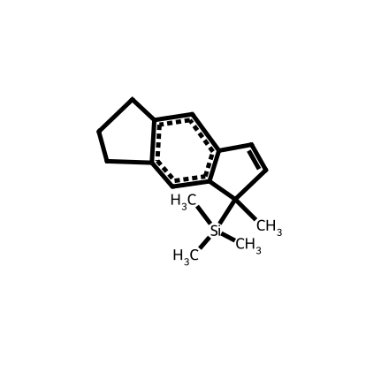 CC1([Si](C)(C)C)C=Cc2cc3c(cc21)CCC3